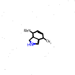 CNC1C=CC(C)C2CNCC12